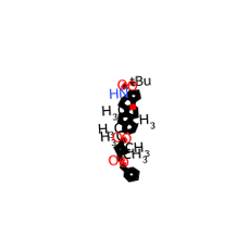 CC(C)(C)OC(=O)NC12CCCC1C1CCC3C(C)(CCC4C(C)(C)C(OC(=O)C5CC(C(=O)OCc6ccccc6)C5(C)C)CCC43C)C1CC2